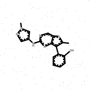 Cc1sc2cnc(Nc3cnn(C)c3)nc2c1-c1ccccc1O